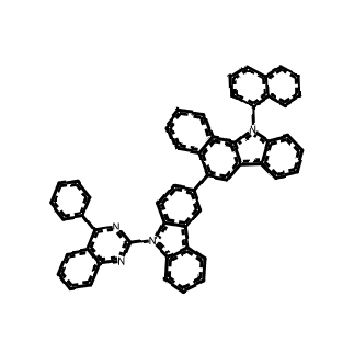 c1ccc(-c2nc(-n3c4ccccc4c4cc(-c5cc6c7ccccc7n(-c7cccc8ccccc78)c6c6ccccc56)ccc43)nc3ccccc23)cc1